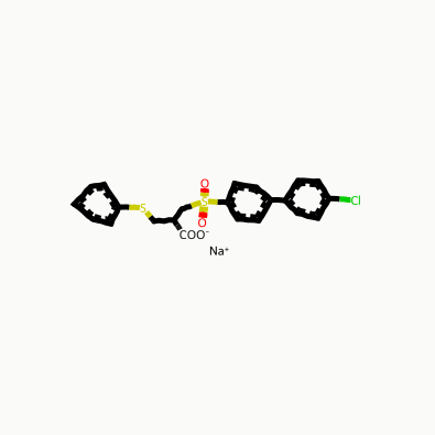 O=C([O-])C(CSc1ccccc1)CS(=O)(=O)c1ccc(-c2ccc(Cl)cc2)cc1.[Na+]